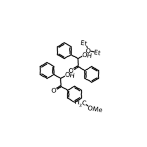 CCOCC.COC.O=C(c1ccccc1)C(O)c1ccccc1.O=C(c1ccccc1)C(O)c1ccccc1